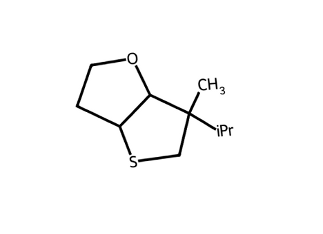 CC(C)C1(C)CSC2CCOC21